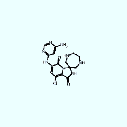 Nc1cc(Nc2cc(Cl)c3n(c2=O)C2(CNCCNC2)NC3=O)ncn1